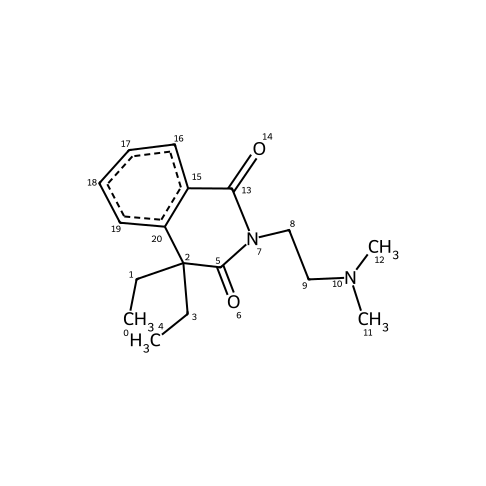 CCC1(CC)C(=O)N(CCN(C)C)C(=O)c2ccccc21